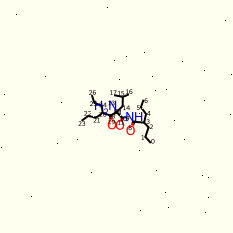 CCCC(CCC)C(=O)NC(=O)[C@@](N)(CC(C)C)C(=O)C(CCC)CCC